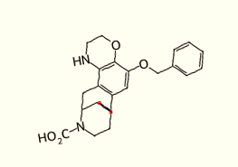 O=C(O)N1CCC23CCCCC2C1Cc1c3cc(OCc2ccccc2)c2c1NCCO2